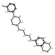 Cc1cccc(N2CCN(CCCCOc3cnc4c(n3)CCCC4)CC2)n1